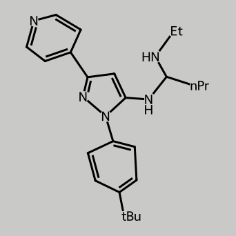 [CH2]CNC(CCC)Nc1cc(-c2ccncc2)nn1-c1ccc(C(C)(C)C)cc1